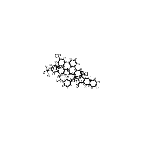 CC(C)c1cccc(C(C)C)c1N1/C(=C\C=C2C(=O)c3cc4ccccc4cc3C2=O)N(c2c(-c3cc(Cl)cc(Cl)c3)cccc2-c2cc(Cl)cc(Cl)c2)c2nc3ccc(C(C)(C)C)cc3nc21